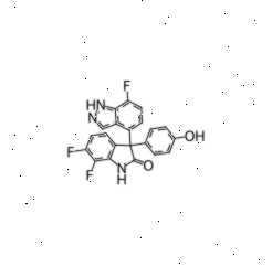 O=C1Nc2c(ccc(F)c2F)C1(c1ccc(O)cc1)c1ccc(F)c2[nH]ncc12